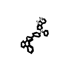 c1ccc(N(c2ccc(-c3ccc4c5ccccc5c5ccccc5c4c3)cc2)c2ccc3sc4ncccc4c3c2)cc1